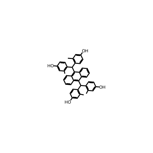 Cc1cc(O)ccc1C(c1ccc(O)cc1C)c1c2ccccc2c(C(c2ccc(O)cc2C)c2ccc(O)cc2C)c2ccccc12